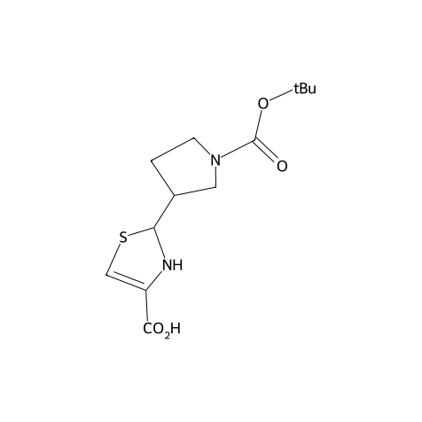 CC(C)(C)OC(=O)N1CCC(C2NC(C(=O)O)=CS2)C1